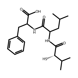 CC(C)CC(NC(=O)[C@@H](S)C(C)C)C(=O)NC(Cc1ccccc1)C(=O)O